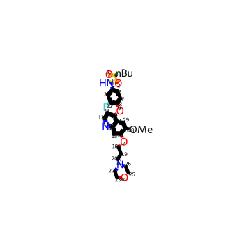 CCCCS(=O)(=O)Nc1ccc(Oc2ccnc3cc(OCCCN4CCOCC4)c(OC)cc23)c(F)c1